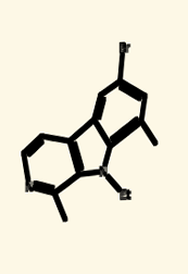 CCn1c2c(C)cc(Br)cc2c2ccnc(C)c21